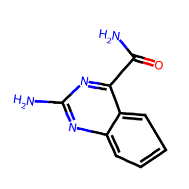 NC(=O)c1nc(N)nc2ccccc12